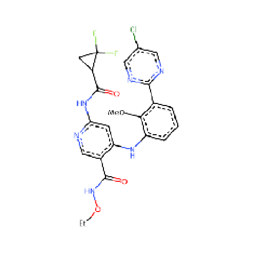 CCONC(=O)c1cnc(NC(=O)C2CC2(F)F)cc1Nc1cccc(-c2ncc(Cl)cn2)c1OC